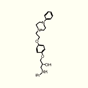 CC(C)NC[C@H](O)COc1ccc(OCC[N+]2CCN(c3ccccc3)CC2)cc1